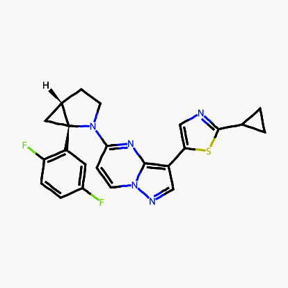 Fc1ccc(F)c([C@@]23C[C@@H]2CCN3c2ccn3ncc(-c4cnc(C5CC5)s4)c3n2)c1